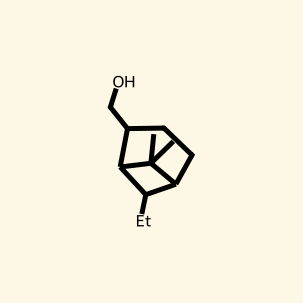 CCC1C2CCC(CO)C1C2(C)C